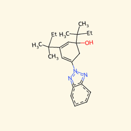 CCC(C)(C)C1=CC(O)(C(C)(C)CC)CC(n2nc3ccccc3n2)=C1